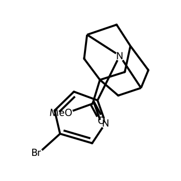 COC(=O)C12CC3CC(C1)N(c1ccc(Br)cn1)C(C3)C2